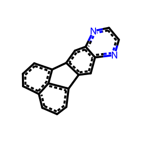 c1cc2c3c(cccc3c1)-c1cc3nccnc3cc1-2